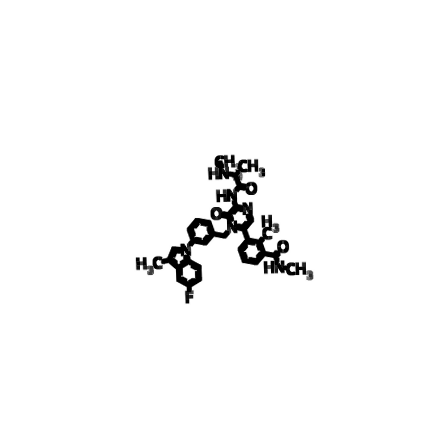 CNC(=O)c1cccc(-c2cnc(NC(=O)[C@H](C)NC)c(=O)n2Cc2cccc(-n3cc(C)c4cc(F)ccc43)c2)c1C